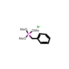 CO[P+](Cc1ccccc1)(OC)OC.[Br-]